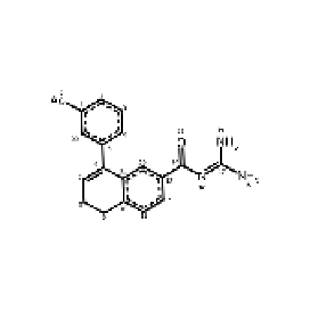 CC(=O)c1cccc(C2=CCCc3ccc(C(=O)N=C(N)N)cc32)c1